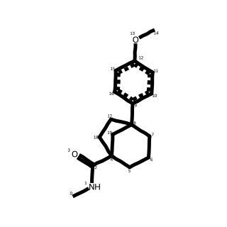 CNC(=O)C12CCCC(c3ccc(OC)cc3)(CC1)C2